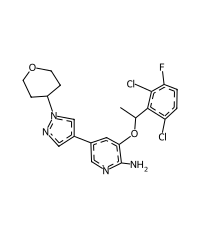 CC(Oc1cc(-c2cnn(C3CCOCC3)c2)cnc1N)c1c(Cl)ccc(F)c1Cl